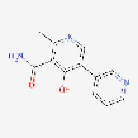 Cc1ncc(-c2cccnc2)c(O)c1C(N)=O